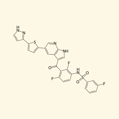 O=C(c1c(F)ccc(NS(=O)(=O)c2cccc(F)c2)c1F)c1c[nH]c2ncc(-c3ccc(-c4cc[nH]n4)s3)cc12